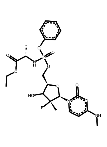 CCOC(=O)[C@H](C)NP(=O)(OC[C@H]1O[C@@H](n2ccc(NC)nc2=O)[C@](C)(F)C1O)Oc1ccccc1